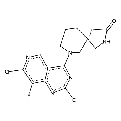 O=C1C[C@]2(CCCN(c3nc(Cl)nc4c(F)c(Cl)ncc34)C2)CN1